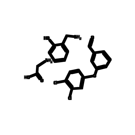 NCC(=O)O.NCc1ccccc1O.O=Cc1cccc(Oc2ccc(Cl)c(Cl)c2)c1